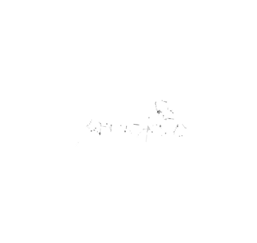 O=C(Nc1ccc(N2CCN(c3cccc(CCO)n3)CC2)cc1)C(=O)c1c(-c2ccccc2)cc2ccccn12